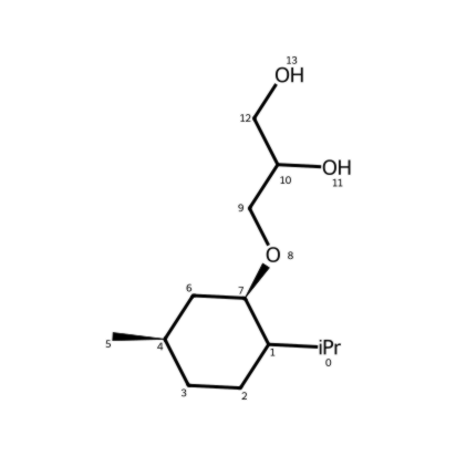 CC(C)C1CC[C@@H](C)C[C@H]1OCC(O)CO